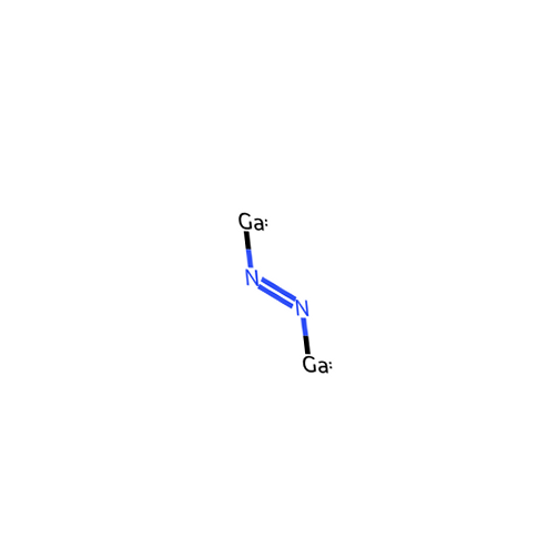 [Ga][N]=[N][Ga]